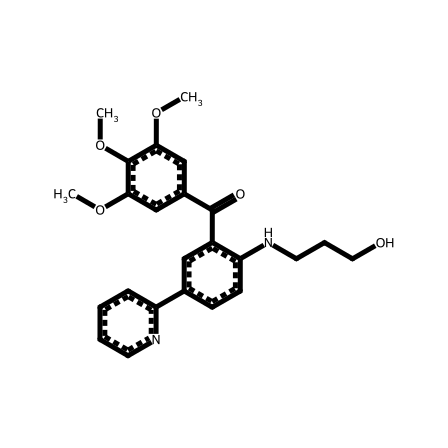 COc1cc(C(=O)c2cc(-c3ccccn3)ccc2NCCCO)cc(OC)c1OC